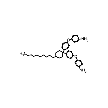 CCCCCCCCCCC1CCC(c2ccc(Oc3ccc(N)cc3)cc2)(c2ccc(Oc3ccc(N)cc3)cc2)CC1